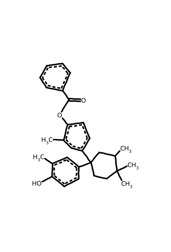 Cc1cc(C2(c3ccc(OC(=O)c4ccccc4)c(C)c3)CCC(C)(C)C(C)C2)ccc1O